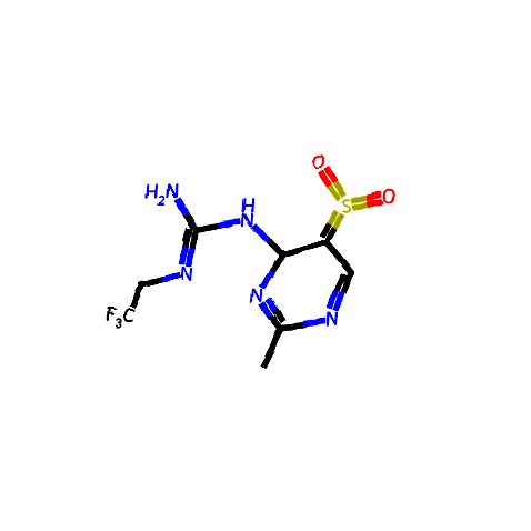 CC1=NC(NC(N)=NCC(F)(F)F)C(=S(=O)=O)C=N1